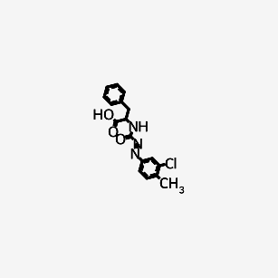 Cc1ccc(/N=N/C(=O)NC(Cc2ccccc2)C(=O)O)cc1Cl